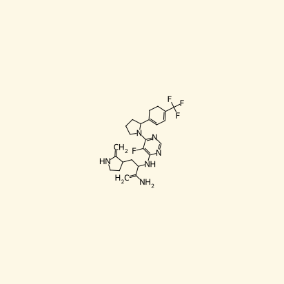 C=C1NCCC1CC(Nc1ncnc(N2CCCC2C2=CC=C(C(F)(F)F)CC2)c1F)C(=C)N